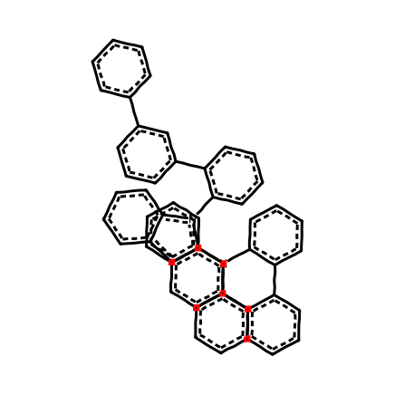 c1ccc(-c2cccc(-c3ccccc3-n3c4ccccc4c4ccc(-c5ccccc5-c5ccccc5N(c5ccccc5)c5ccccc5)cc43)c2)cc1